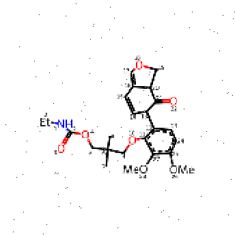 CCNC(=O)OCC(C)(C)COc1c(C2C=CC3=COCC3C2=O)ccc(OC)c1OC